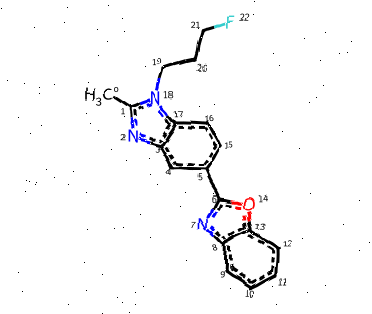 Cc1nc2cc(-c3nc4ccccc4o3)ccc2n1CCCF